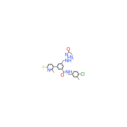 Cc1cc(CNC(=O)c2cc(CNC3=NC(=O)CN3C)cc(-c3ccc(F)nc3C)c2)ccc1Cl